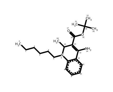 CCCCCCN1c2ccccc2C(N)=C(C(=O)OC(C)(C)C)C1C